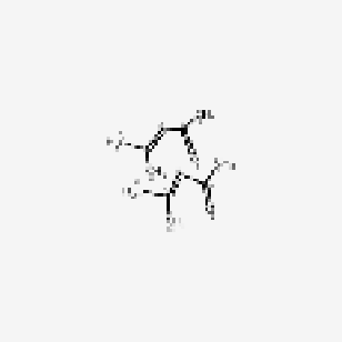 CC(=O)C=C(C)C.CC(=O)C=C(C)C